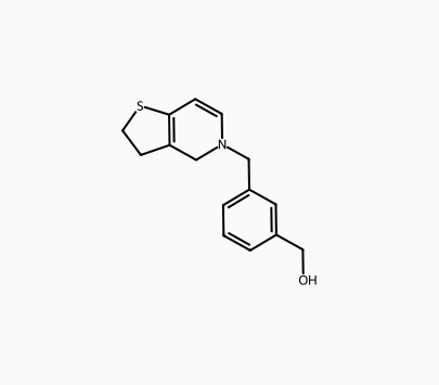 OCc1cccc(CN2C=CC3=C(CCS3)C2)c1